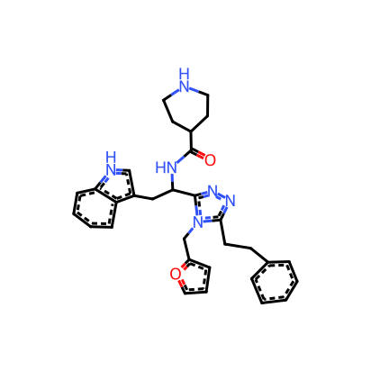 O=C(NC(Cc1c[nH]c2ccccc12)c1nnc(CCc2ccccc2)n1Cc1ccco1)C1CCNCC1